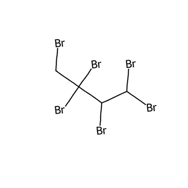 BrCC(Br)(Br)C(Br)C(Br)Br